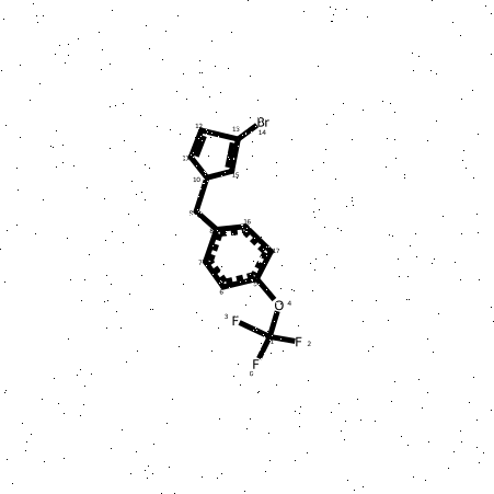 FC(F)(F)Oc1ccc(CC2C=CC(Br)=C2)cc1